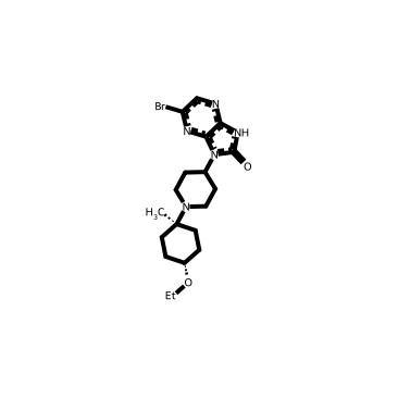 CCO[C@H]1CC[C@](C)(N2CCC(n3c(=O)[nH]c4ncc(Br)nc43)CC2)CC1